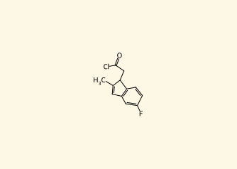 CC1=Cc2cc(F)ccc2C1CC(=O)Cl